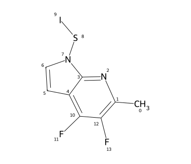 Cc1nc2c(ccn2SI)c(F)c1F